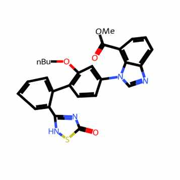 CCCCOc1cc(-n2cnc3cccc(C(=O)OC)c32)ccc1-c1ccccc1-c1nc(=O)s[nH]1